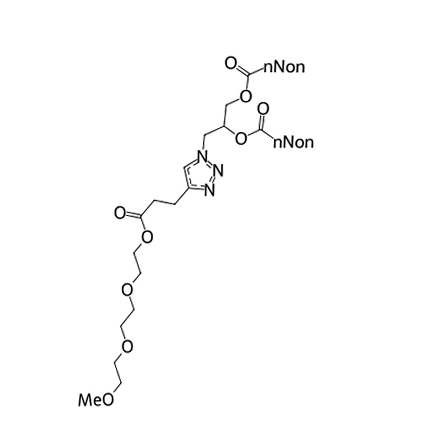 CCCCCCCCCC(=O)OCC(Cn1cc(CCC(=O)OCCOCCOCCOC)nn1)OC(=O)CCCCCCCCC